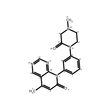 Cc1cc(=O)n(-c2cccc(N3CCN(C)CC3=O)c2)c2ncncc12